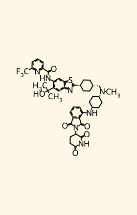 CN(C[C@H]1CC[C@H](c2nc3cc(C(C)(C)O)c(NC(=O)c4cccc(C(F)(F)F)n4)cc3s2)CC1)[C@H]1CC[C@H](Nc2cccc3c2C(=O)N(C2CCC(=O)NC2=O)C3=O)CC1